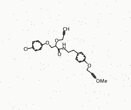 C#CCOC(COc1ccc(Cl)cc1)C(=O)NCCc1ccc(OCC#COC)cc1